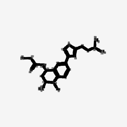 CC(=O)N1c2ccc(-c3noc(CCN(C)C)n3)cc2[C@H](NC(=O)OC(C)C)C[C@@H]1C